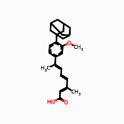 COc1cc(C(C)=CC=CC(C)=CC(=O)O)ccc1C12CC3CC(CC(C3)C1)C2